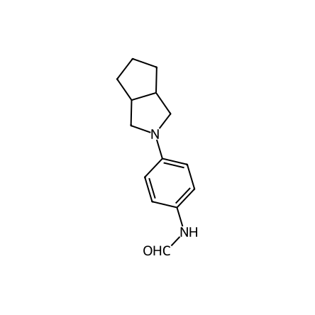 O=CNc1ccc(N2CC3CCCC3C2)cc1